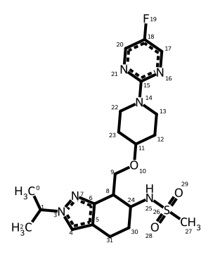 CC(C)n1cc2c(n1)C(COC1CCN(c3ncc(F)cn3)CC1)C(NS(C)(=O)=O)CC2